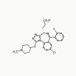 CN1CCC(Sc2nnc3n2-c2ccc(Cl)cc2C(c2ccccc2F)=N[C@H]3CCC(=O)O)CC1